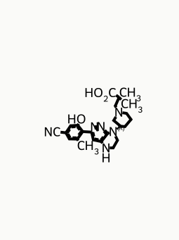 Cc1cc(C#N)cc(O)c1-c1cc2c(nn1)N([C@@H]1CCCN(CC(C)(C)C(=O)O)C1)CCN2